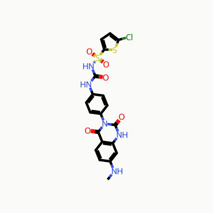 CNc1ccc2c(=O)n(-c3ccc(NC(=O)NS(=O)(=O)c4ccc(Cl)s4)cc3)c(=O)[nH]c2c1